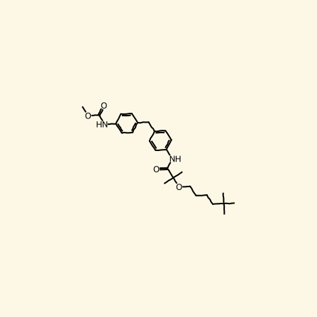 COC(=O)Nc1ccc(Cc2ccc(NC(=O)C(C)(C)OCCCCC(C)(C)C)cc2)cc1